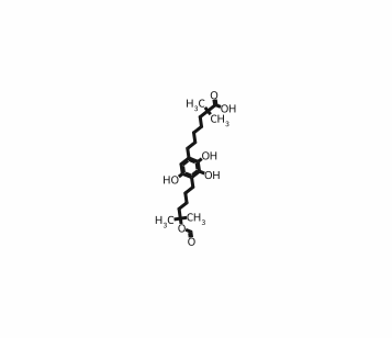 CC(C)(CCCCc1c(O)cc(CCCCCC(C)(C)C(=O)O)c(O)c1O)OC=O